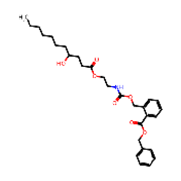 CCCCCCCC(O)CCC(=O)OCCNC(=O)OCc1ccccc1C(=O)OCc1ccccc1